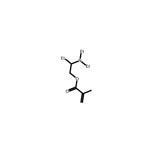 C=C(C)C(=O)OCC(CC)N(CC)CC